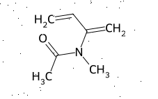 C=CC(=C)N(C)C(C)=O